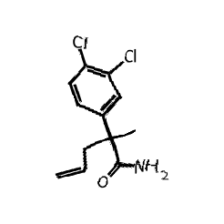 C=CCC(C)(C(N)=O)c1ccc(Cl)c(Cl)c1